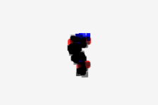 CC1C(=O)NN=C2COc3ccc(C4CCN(C(=O)OC(C)(C)C)CC4)cc3N21